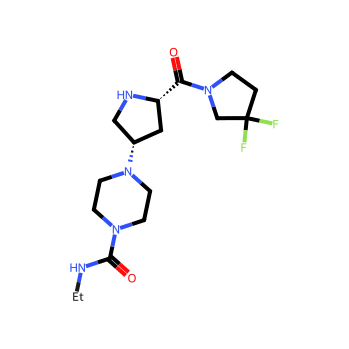 CCNC(=O)N1CCN([C@@H]2CN[C@H](C(=O)N3CCC(F)(F)C3)C2)CC1